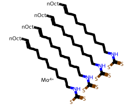 CCCCCCCCC=CCCCCCCCCNC(=S)[S-].CCCCCCCCC=CCCCCCCCCNC(=S)[S-].CCCCCCCCC=CCCCCCCCCNC(=S)[S-].CCCCCCCCC=CCCCCCCCCNC(=S)[S-].[Mo+4]